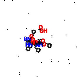 CC(=O)O.CC(C)[C@H](NC(=O)OCc1ccccc1)C(=O)NC(Cc1ccccc1)C(O)C(Cc1ccccc1)NC(=O)[C@@H](NC(=O)OCc1ccccc1)C(C)C